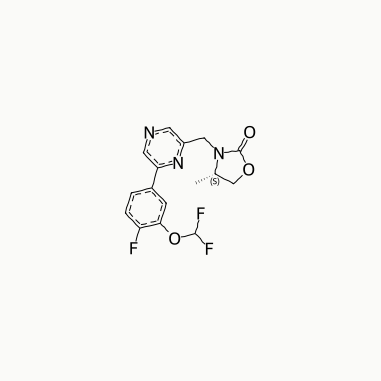 C[C@H]1COC(=O)N1Cc1cncc(-c2ccc(F)c(OC(F)F)c2)n1